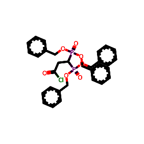 O=C(Cl)CC(P(=O)(OCc1ccccc1)OCc1ccccc1)P(=O)(OCc1ccccc1)OCc1ccccc1